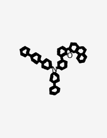 c1ccc(-c2ccc(-c3ccc(N(c4ccc(-c5ccccc5)cc4)c4cccc(-c5cccc6c5oc5c6ccc6ccc7ccccc7c65)c4)cc3)cc2)cc1